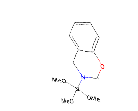 CO[Si](OC)(OC)N1[CH]Oc2ccccc2C1